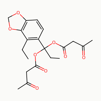 CCc1c(C(CC)(OC(=O)CC(C)=O)OC(=O)CC(C)=O)ccc2c1OCO2